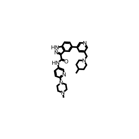 CC1CCN(Cc2cncc(-c3ccc4[nH]nc(C(=O)Nc5ccc(N6CCN(C)CC6)nc5)c4c3)c2)CC1